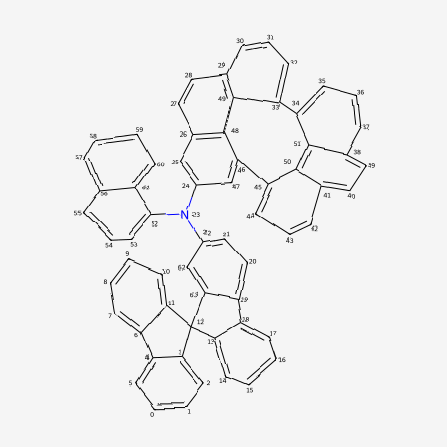 c1ccc2c(c1)-c1ccccc1C21c2ccccc2-c2ccc(N(c3cc4ccc5cccc6c7cccc8ccc9cccc(c(c3)c4c56)c9c87)c3cccc4ccccc34)cc21